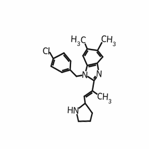 C/C(=C\C1CCCN1)c1nc2cc(C)c(C)cc2n1Cc1ccc(Cl)cc1